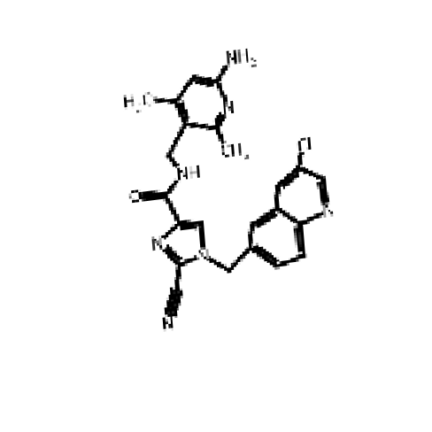 Cc1cc(N)nc(C)c1CNC(=O)c1cn(Cc2ccc3ncc(Cl)cc3c2)c(C#N)n1